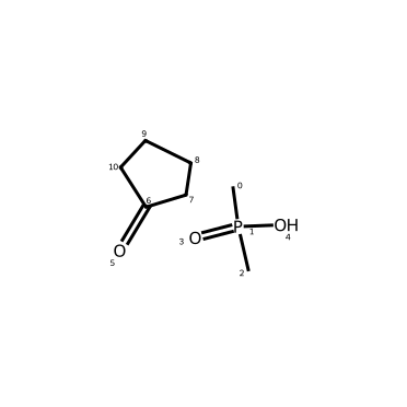 CP(C)(=O)O.O=C1CCCC1